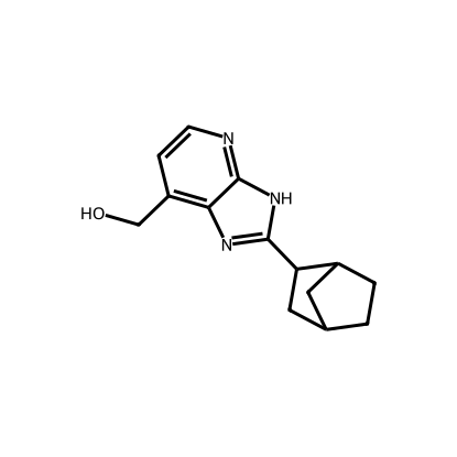 OCc1ccnc2[nH]c(C3CC4CCC3C4)nc12